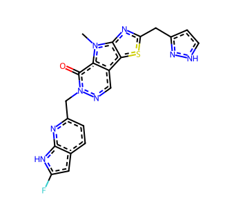 Cn1c2nc(Cc3cc[nH]n3)sc2c2cnn(Cc3ccc4cc(F)[nH]c4n3)c(=O)c21